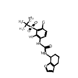 CC(C)(C)S(=O)(=O)c1c(Cl)ccc(NC(=O)NC2CCCc3ccoc32)c1O